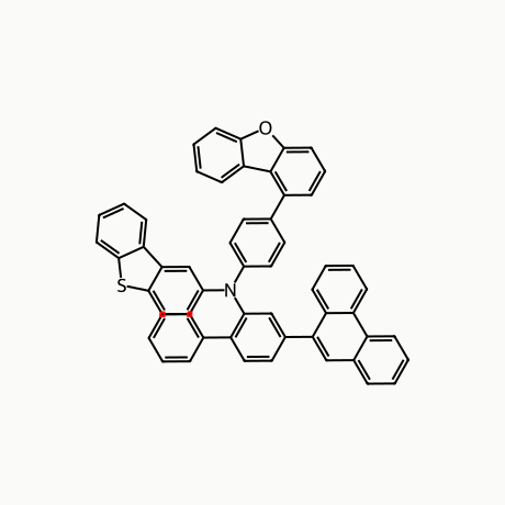 c1ccc(-c2ccc(-c3cc4ccccc4c4ccccc34)cc2N(c2ccc(-c3cccc4oc5ccccc5c34)cc2)c2ccc3sc4ccccc4c3c2)cc1